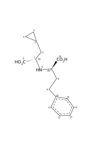 O=C(O)[C@H](CC1CC1)N[C@H](CCc1ccccc1)C(=O)O